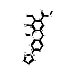 C=Cc1c(C(=O)OC)cc(Cc2ccc(-n3cccn3)cc2)c(OC)c1Cl